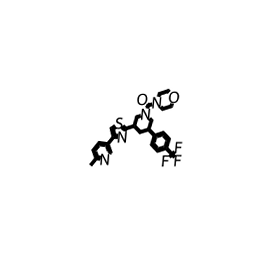 Cc1ccc(-c2csc(C3CC(c4ccc(C(F)(F)F)cc4)CN(C(=O)N4CCOCC4)C3)n2)cn1